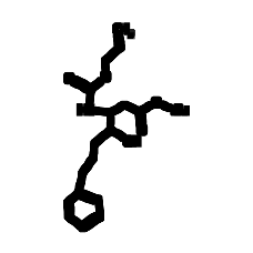 C=CCOC(=O)NC(CC(=O)OC(C)(C)C)C(O)CCCc1ccccc1